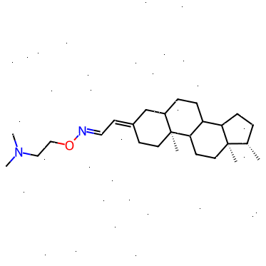 C[C@H]1CCC2C3CCC4C/C(=C/C=NOCCN(C)C)CC[C@]4(C)C3CC[C@@]21C